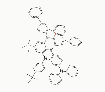 CC(C)(C)c1ccc(N2c3cc(N(c4ccccc4)c4ccccc4)ccc3B3c4cc(-c5ccccc5)ccc4N(c4ccc(-c5ccccc5)cc4-c4ccccc4)c4cc(C(C)(C)C)cc2c43)cc1